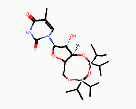 Cc1cn([C@@H]2OC3CO[Si](C(C)C)(C(C)C)O[Si](C(C)C)(C(C)C)O[C@@H]3[C@H]2O)c(=O)[nH]c1=O